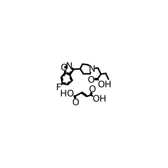 CCC(CN1CCC(c2noc3cc(F)ccc23)CC1)C(=O)O.O=C(O)/C=C/C(=O)O